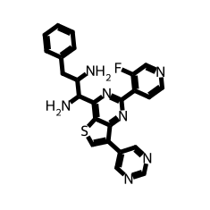 NC(Cc1ccccc1)C(N)c1nc(-c2ccncc2F)nc2c(-c3cncnc3)csc12